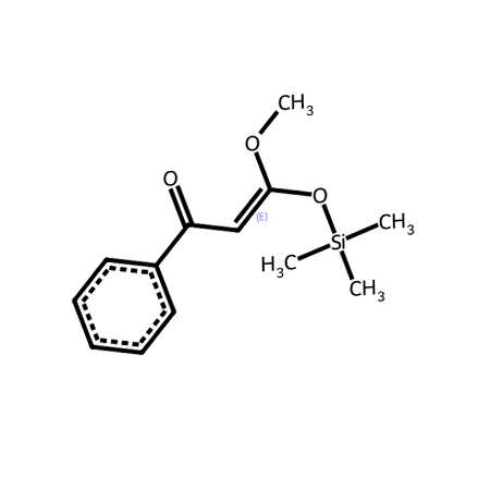 CO/C(=C\C(=O)c1ccccc1)O[Si](C)(C)C